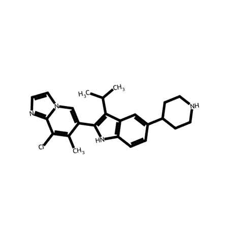 Cc1c(-c2[nH]c3ccc(C4CCNCC4)cc3c2C(C)C)cn2ccnc2c1Cl